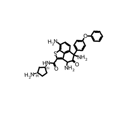 Nc1ccc2c3c(c(C(=O)N[C@H]4CC[C@@H](N)C4)sc13)C(N)C(=O)C2(N)c1ccc(Oc2ccccc2)cc1